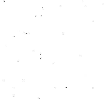 c1cc(-c2ccc(OC[C@H]3CO3)cc2)ccc1OCC1CO1